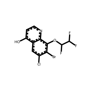 Oc1ccnc2c(OC(F)C(F)F)c(Br)c(Cl)cc12